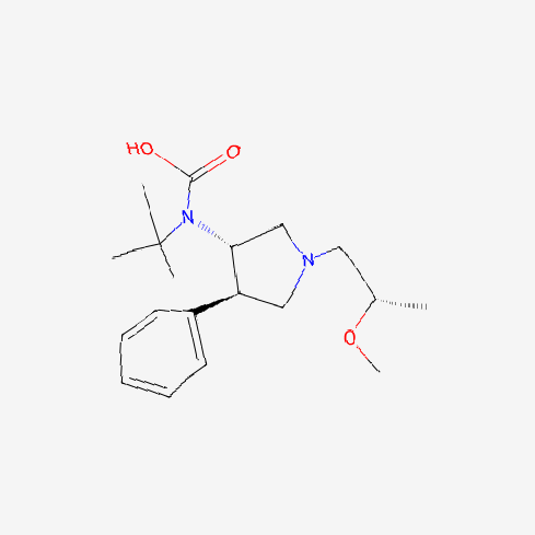 CO[C@@H](C)CN1C[C@@H](N(C(=O)O)C(C)(C)C)[C@H](c2ccccc2)C1